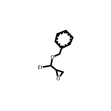 CCC(OCc1ccccc1)C1CO1